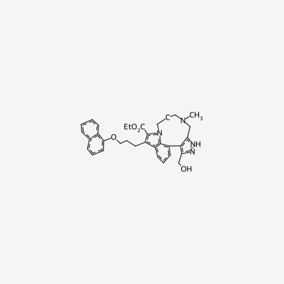 CCOC(=O)c1c(CCCOc2cccc3ccccc23)c2cccc3c2n1CCCN(C)Cc1[nH]nc(CO)c1-3